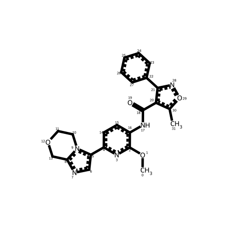 COc1nc(-c2cnc3n2CCOC3)ccc1NC(=O)c1c(-c2ccccc2)noc1C